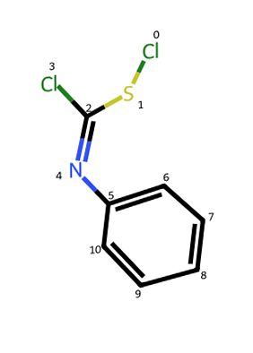 ClS/C(Cl)=N\c1ccccc1